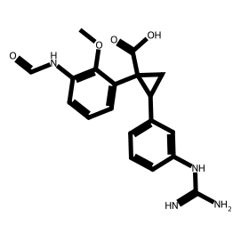 COc1c(NC=O)cccc1C1(C(=O)O)CC1c1cccc(NC(=N)N)c1